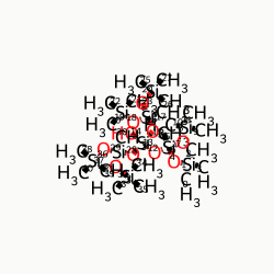 C[Si](C)(C)O[Si](C)(O[Si](C)(C)C)O[Si](O)(O[Si](C)(O[Si](C)(C)C)O[Si](C)(C)C)O[Si](C)(O[Si](C)(C)C)O[Si](C)(C)C